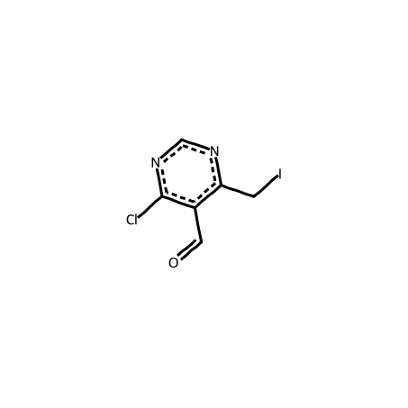 O=Cc1c(Cl)ncnc1CI